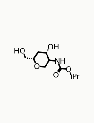 CC(C)OC(=O)NC1CO[C@H](CO)C[C@@H]1O